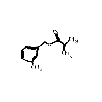 [CH2]c1cccc(COC(=O)C(=C)C)c1